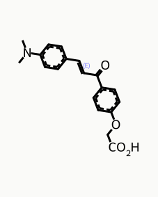 CN(C)c1ccc(/C=C/C(=O)c2ccc(OCC(=O)O)cc2)cc1